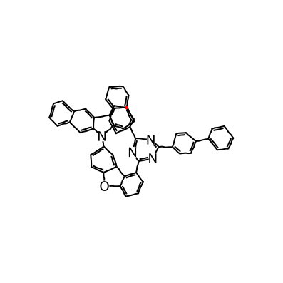 c1ccc(-c2ccc(-c3nc(-c4ccc5ccccc5c4)nc(-c4cccc5oc6ccc(-n7c8ccccc8c8cc9ccccc9cc87)cc6c45)n3)cc2)cc1